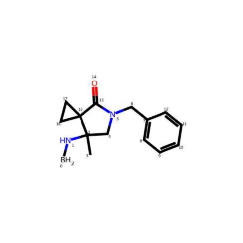 BNC1(C)CN(Cc2ccccc2)C(=O)C12CC2